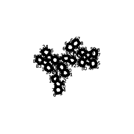 CC1(C)c2ccccc2-c2ccc(N(c3ccc4c(c3)C3(c5ccccc5-c5cc(-c6ccc7c(N(c8ccc9c(c8)C8(c%10ccccc%10-c%10ccccc%108)c8ccccc8-9)c8cccc9ccccc89)cccc7c6)ccc53)c3ccccc3-4)c3cccc4ccccc34)cc21